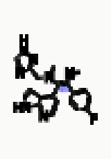 C=N/C(=C(/c1ccnc2[nH]ccc12)N(C)Cc1nc[nH]n1)c1ccc(F)cc1